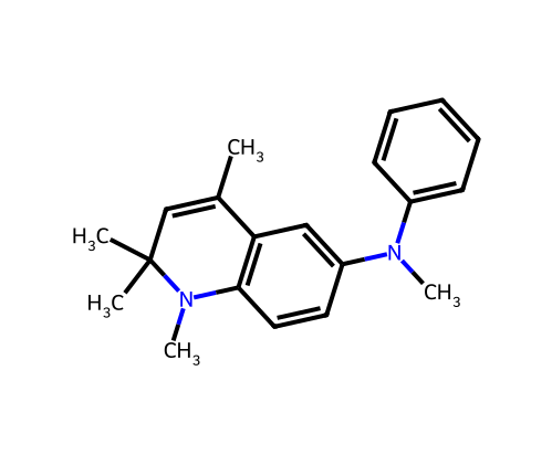 CC1=CC(C)(C)N(C)c2ccc(N(C)c3ccccc3)cc21